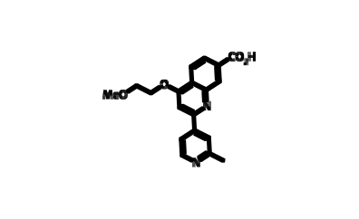 COCCOc1cc(-c2ccnc(C)c2)nc2cc(C(=O)O)ccc12